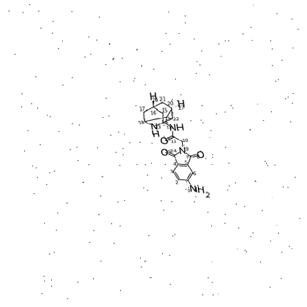 Nc1ccc2c(c1)C(=O)N(CC(=O)NC13C[C@@H]4CC(C[C@@H](C4)C1)N3)C2=O